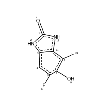 O=c1[nH]c2cc(F)c(O)c(F)c2[nH]1